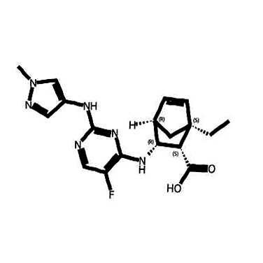 CC[C@@]12C=C[C@@H](C1)[C@@H](Nc1nc(Nc3cnn(C)c3)ncc1F)[C@H]2C(=O)O